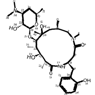 C[C@H]1CN(C)C(=O)C[C@@H](Cc2ccccc2O)NC(=O)[C@H](C)[C@@H](O)[C@H](C)[C@@H](O[C@@H]2O[C@H](C)C[C@H](N(C)C)[C@H]2O)[C@](C)(O)C1